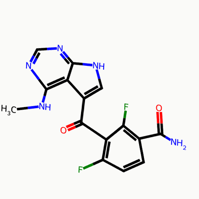 CNc1ncnc2[nH]cc(C(=O)c3c(F)ccc(C(N)=O)c3F)c12